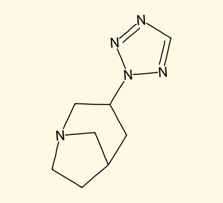 c1nnn(C2CC3CCN(C3)C2)n1